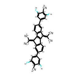 N#CC(C#N)=C1C2=C(C(=C(C#N)C#N)c3cc(-c4cc(F)c(C#N)c(F)c4)ccc32)c2ccc(-c3cc(F)c(C#N)c(F)c3)cc21